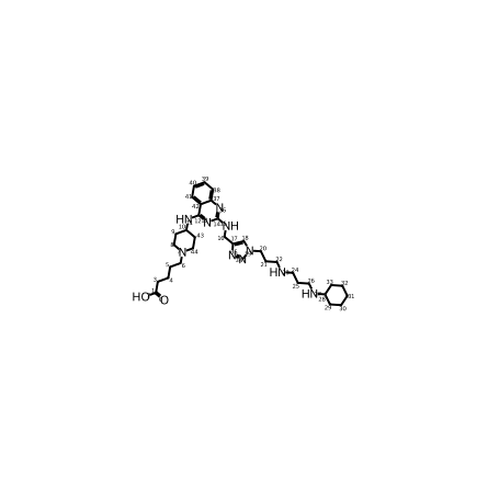 O=C(O)CCCCN1CCC(Nc2nc(NCc3cn(CCCNCCCNC4CCCCC4)nn3)nc3ccccc23)CC1